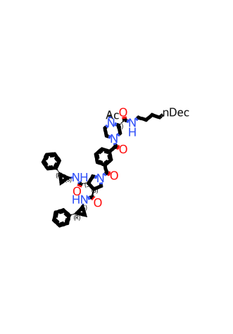 CCCCCCCCCCCCCCNC(=O)[C@@H]1CN(C(=O)c2cccc(C(=O)N3C[C@@H](C(=O)N[C@H]4C[C@@H]4c4ccccc4)[C@H](C(=O)N[C@H]4C[C@@H]4c4ccccc4)C3)c2)CCN1C(C)=O